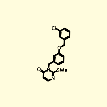 CSc1nccc(=O)n1Cc1cccc(OCc2cccc(Cl)c2)c1